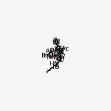 C/C=C/CCCC(=O)NC[C@@]12C[C@@H](C(=O)Nc3cc(OC)c(F)c(Br)n3)N(C(=O)Cn3nc(C(C)=O)c4cc(-c5cnc(C)nc5)cc(C)c43)[C@@H]1C2